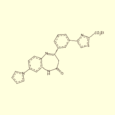 CCOC(=O)c1nc(-c2cccc(C3=Nc4ccc(-n5cccc5)cc4NC(=O)C3)c2)cs1